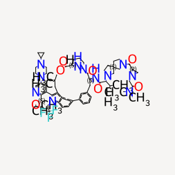 CO[C@@H](C)c1ncc(N2CCN(C3CC3)CC2)cc1-c1c2c3cc(ccc3n1CC(F)(F)F)-c1cccc(c1)C[C@H](NC(=O)C(C(C)C)N1CC[C@]3(CCN(C(=O)[C@H]4CN4CC(=O)N(C)C)C3)C1)C(=O)N1CCC[C@H](N1)C(=O)OCC(C)(C)C2